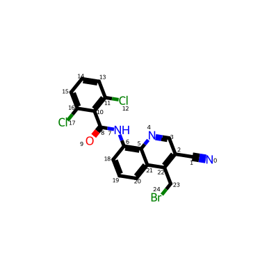 N#Cc1cnc2c(NC(=O)c3c(Cl)cccc3Cl)cccc2c1CBr